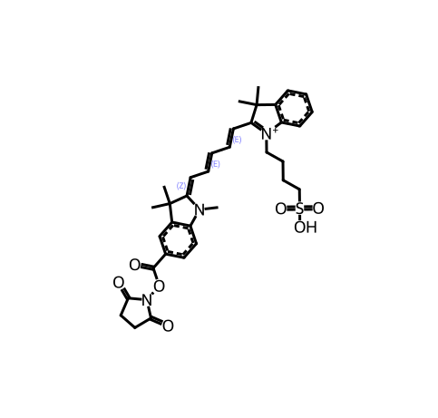 CN1\C(=C/C=C/C=C/C2=[N+](CCCCS(=O)(=O)O)c3ccccc3C2(C)C)C(C)(C)c2cc(C(=O)ON3C(=O)CCC3=O)ccc21